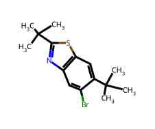 CC(C)(C)c1nc2cc(Br)c(C(C)(C)C)cc2s1